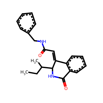 CCC(C)C1NC(=O)c2ccccc2/C1=C/C(=O)NCc1ccccc1